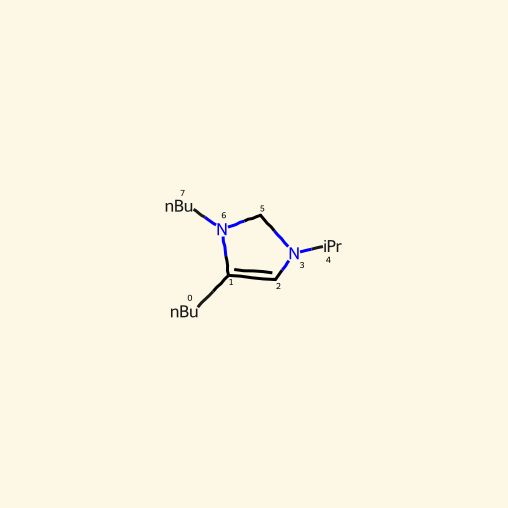 CCCCC1=CN(C(C)C)CN1CCCC